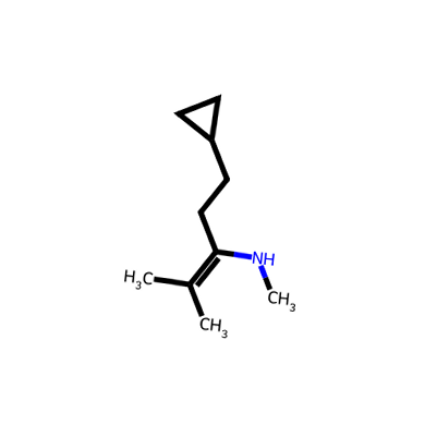 CNC(CCC1CC1)=C(C)C